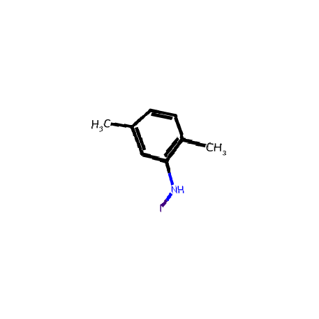 Cc1ccc(C)c(NI)c1